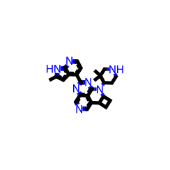 Cc1cc2c(-c3nc4c5c(cncc5n3)C3CCC3N4C3CCNCC3(C)C)ccnc2[nH]1